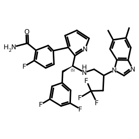 Cc1cc2ncn(C(CN[C@@H](Cc3cc(F)cc(F)c3)c3ncccc3-c3ccc(F)c(C(N)=O)c3)CC(F)(F)F)c2cc1C